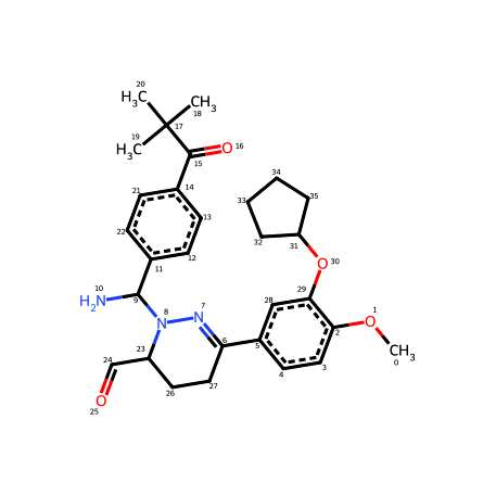 COc1ccc(C2=NN(C(N)c3ccc(C(=O)C(C)(C)C)cc3)C(C=O)CC2)cc1OC1CCCC1